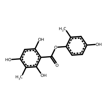 Cc1cc(O)ccc1OC(=O)c1c(O)cc(O)c(C)c1O